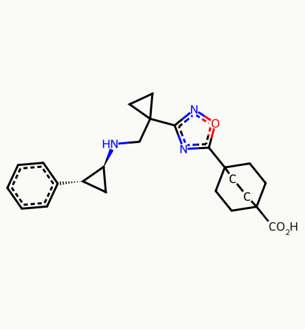 O=C(O)C12CCC(c3nc(C4(CN[C@H]5C[C@@H]5c5ccccc5)CC4)no3)(CC1)CC2